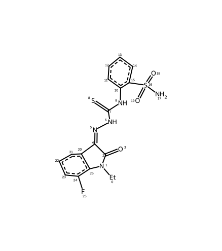 CCN1C(=O)C(=NNC(=S)Nc2ccccc2S(N)(=O)=O)c2cccc(F)c21